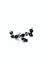 CC1(C)CCC(CN2CCN(c3ccc(C(=O)NS(=O)(=O)c4ccc(NC5CCN(C6CCOCC6)C5)c([N+](=O)[O-])c4)c(-n4ncc5nc6[nH]ccc6cc54)c3)CC2)=C(c2ccc(Cl)cc2)C1